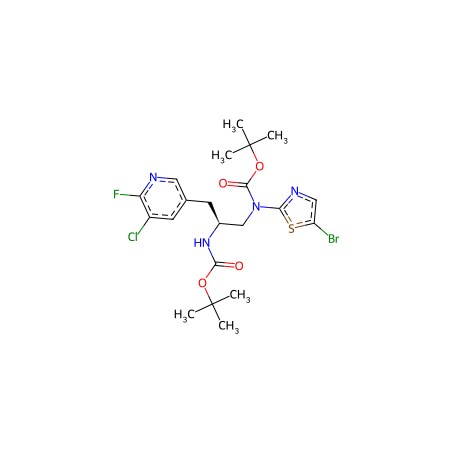 CC(C)(C)OC(=O)N[C@@H](Cc1cnc(F)c(Cl)c1)CN(C(=O)OC(C)(C)C)c1ncc(Br)s1